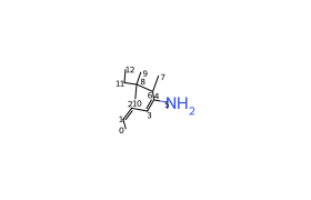 C/C=C\C=C(\N)C(C)C(C)(C)CC